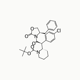 CC(C)(C)OC(=O)N1CCCC[C@H]1[C@@H](C(=O)N1C(=O)OC[C@H]1Cc1ccccc1)c1ccc(Cl)cc1